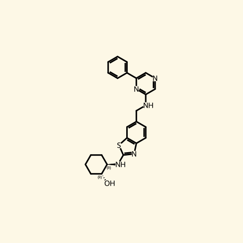 O[C@@H]1CCCC[C@H]1Nc1nc2ccc(CNc3cncc(-c4ccccc4)n3)cc2s1